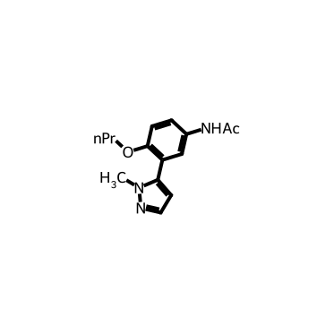 CCCOc1ccc(NC(C)=O)cc1-c1ccnn1C